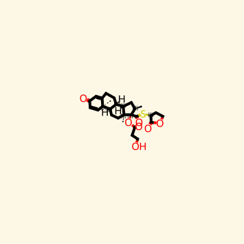 C[C@@H]1C[C@H]2[C@@H]3CCC4=CC(=O)C=C[C@]4(C)[C@H]3CC[C@]2(C)[C@@]1(OC(=O)CCO)C(=O)S[C@H]1CCOC1=O